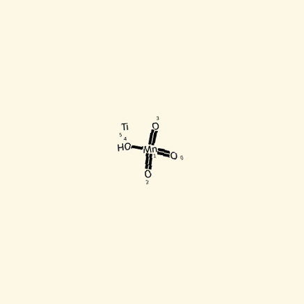 [O]=[Mn](=[O])(=[O])[OH].[Ti]